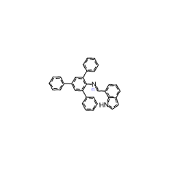 C(=N\c1c(-c2ccccc2)cc(-c2ccccc2)cc1-c1ccccc1)/c1cccc2cc[nH]c12